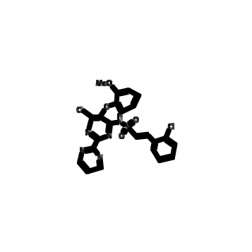 COc1ccccc1Oc1c(Cl)nc(-c2ncccn2)nc1NS(=O)(=O)/C=C/c1ccccc1Cl